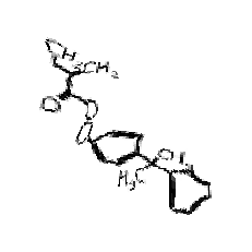 C=C(CC)C(=O)OOc1ccc(C(C)(C)c2ccccc2)cc1